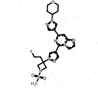 CS(=O)(=O)N1CC(CCF)(n2cc(-c3nc(-c4cnn(C5CCOCC5)c4)cc4nccn34)cn2)C1